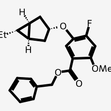 CC[C@@H]1[C@H]2C[C@H](Oc3cc(C(=O)OCc4ccccc4)c(OC)cc3F)C[C@@H]12